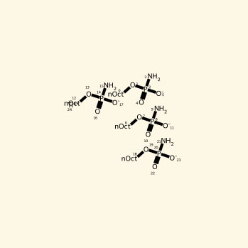 CCCCCCCCOP(N)(=O)[O-].CCCCCCCCOP(N)(=O)[O-].CCCCCCCCOP(N)(=O)[O-].CCCCCCCCOP(N)(=O)[O-].[Ti+4]